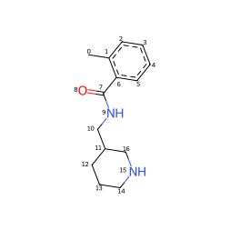 Cc1ccccc1C(=O)NCC1CCCNC1